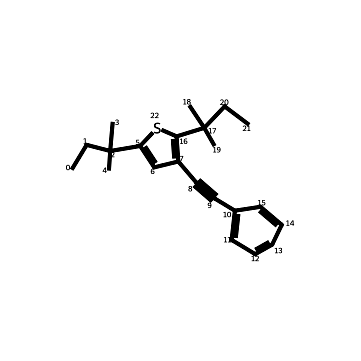 CCC(C)(C)c1cc(C#Cc2ccccc2)c(C(C)(C)CC)s1